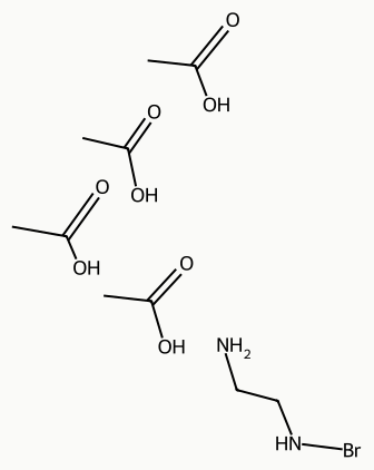 CC(=O)O.CC(=O)O.CC(=O)O.CC(=O)O.NCCNBr